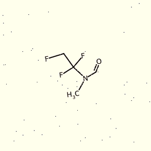 CN([C]=O)C(F)(F)CF